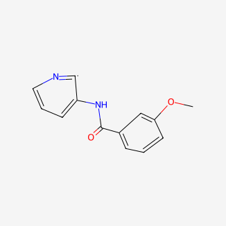 COc1cccc(C(=O)Nc2[c]nccc2)c1